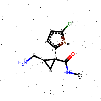 CCNC(=O)[C@@]1(c2ccc(Cl)s2)C[C@H]1CN